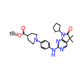 CC(C)(C)OC(=O)C1CCN(c2ccc(Nc3ncc4c(n3)N(C3CCCC3)C(=O)C4(C)C)cc2)CC1